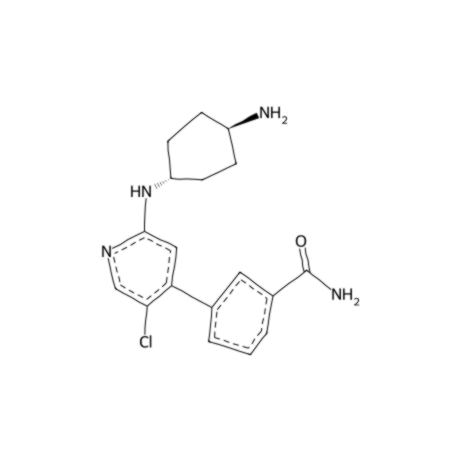 NC(=O)c1cccc(-c2cc(N[C@H]3CC[C@H](N)CC3)ncc2Cl)c1